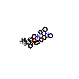 CC1(C)c2ccccc2-c2cc(-c3ccccc3N(c3ccccc3-c3cccc4c5ccccc5n(-c5ccccc5)c34)c3cccc4c3-c3ccccc3C4(C)C)ccc21